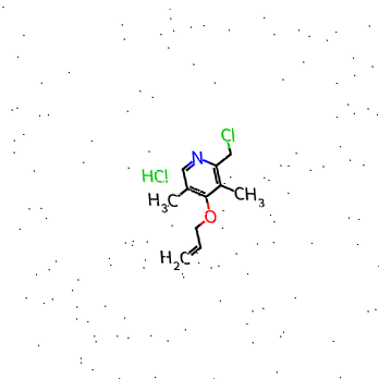 C=CCOc1c(C)cnc(CCl)c1C.Cl